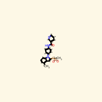 Cc1cccc2c1cc(SS(C)(=O)=O)n2-c1ccc(NC(=O)c2cccnc2)cc1